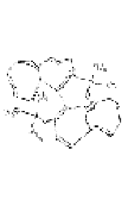 CC(C)(C)c1ccc2ccccc2c1-c1c(C(C)(C)C)ccc2ccccc12